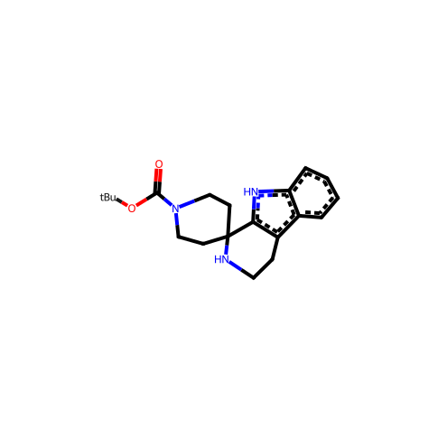 CC(C)(C)OC(=O)N1CCC2(CC1)NCCc1c2[nH]c2ccccc12